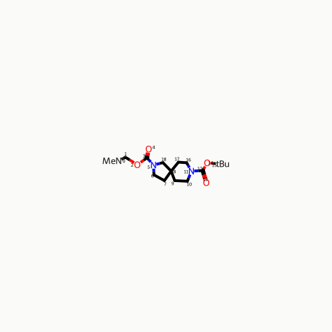 CNCOC(=O)N1CCC2(CCN(C(=O)OC(C)(C)C)CC2)C1